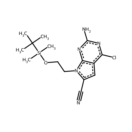 CC(C)(C)[Si](C)(C)OCCn1c(C#N)cc2c(Cl)nc(N)nc21